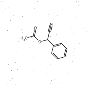 CC(=O)OC(C#N)c1ccccc1